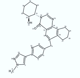 Cn1cc(-c2ccc(Cc3cc4c(=O)n([C@H]5CCCC[C@@H]5O)cnc4c4c3CCCC4)cn2)cn1